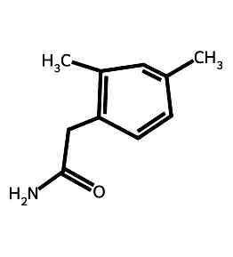 Cc1ccc(CC(N)=O)c(C)c1